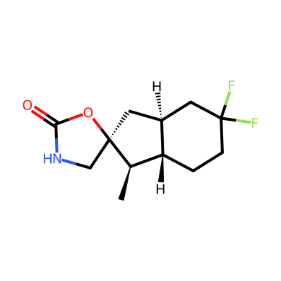 C[C@@H]1[C@H]2CCC(F)(F)C[C@@H]2C[C@@]12CNC(=O)O2